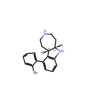 CC(C)c1ccccc1-c1cccc2c1[C@@H]1CCNCC[C@@H]1N2